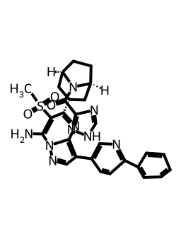 CS(=O)(=O)c1c([C@@H]2C[C@H]3CC[C@@H](C2)N3C(=O)c2nc[nH]n2)nc2c(-c3ccc(-c4ccccc4)nc3)cnn2c1N